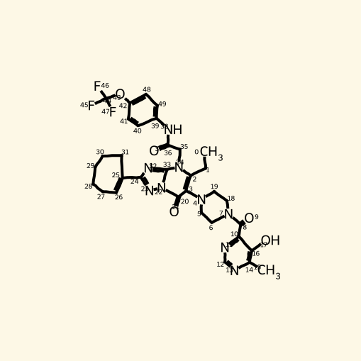 CCc1c(N2CCN(C(=O)c3ncnc(C)c3O)CC2)c(=O)n2nc(C3=CCCCCC3)nc2n1CC(=O)Nc1ccc(OC(F)(F)F)cc1